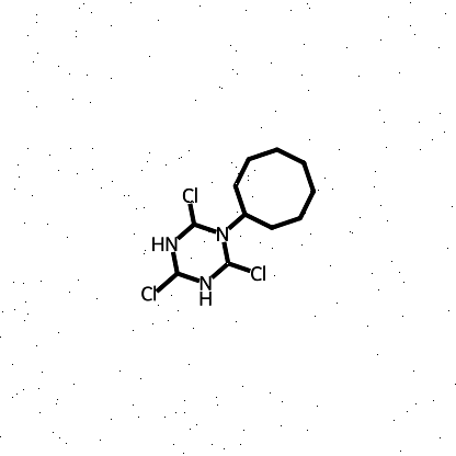 ClC1NC(Cl)N(C2CCCCCCC2)C(Cl)N1